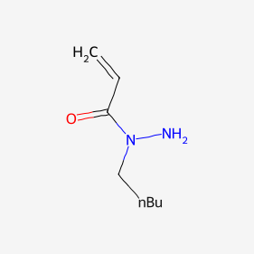 C=CC(=O)N(N)CCCCC